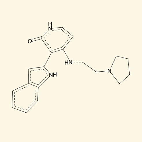 O=c1[nH]ccc(NCCN2CCCC2)c1-c1cc2ccccc2[nH]1